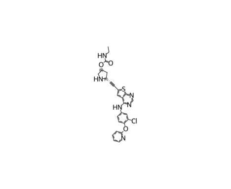 CCNC(=O)O[C@H]1CN[C@@H](C#Cc2cc3c(Nc4ccc(Oc5ccccn5)c(Cl)c4)ncnc3s2)C1